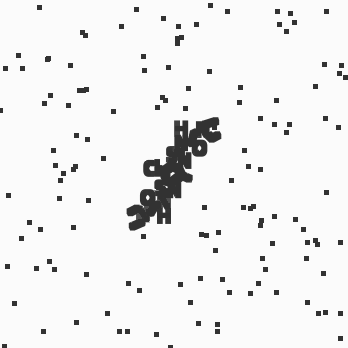 CCN(CC)CC(=O)Nc1nc2c(C)c3nc(NC(=O)CN(CC)CC)sc3c(Cl)c2s1